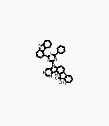 CC1(C)c2ccccc2-c2ccc3c(c21)c1ncncc1n3-c1nc(-c2ccccc2)nc(-c2cccc3sc4ccccc4c23)n1